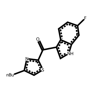 CCCCc1csc(C(=O)c2c[nH]c3cc(F)ccc23)n1